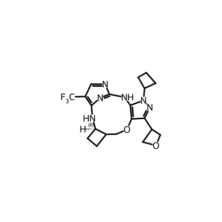 FC(F)(F)c1cnc2nc1N[C@@H]1CCC1COc1c(C3COC3)nn(C3CCC3)c1N2